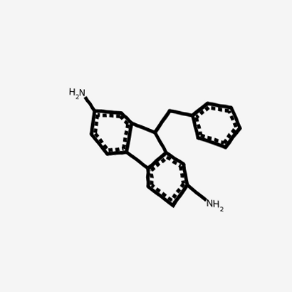 Nc1ccc2c(c1)C(Cc1ccccc1)c1cc(N)ccc1-2